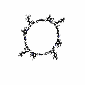 O=C1CCC/C=C\CC2C=C(F)C(=O)/C2=C/C[C@@H](CCCCC(F)(F)F)OC(=O)CCC/C=C\C[C@H]2C=C(F)C(O)/C2=C/C[C@H](CCCCC(F)(F)F)OC(=O)CCC/C=C\CC2C=C(F)C(=O)/C2=C/C[C@@H](CCCCC(F)(F)F)OC(=O)CCC/C=C\C[C@H]2C=C(F)C(=O)/C2=C/C[C@H](CCCCC(F)(F)F)O1